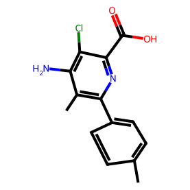 Cc1ccc(-c2nc(C(=O)O)c(Cl)c(N)c2C)cc1